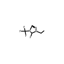 CCN1N=CN(C(F)(F)F)C1F